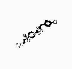 O=S(=O)(CCC(F)(F)F)N1CCN(c2nc(Cc3ccc(Cl)cc3)ns2)CC1